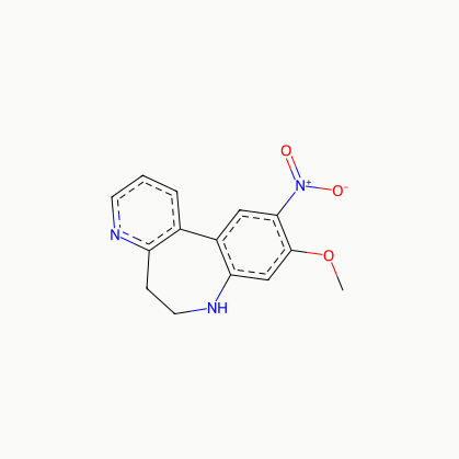 COc1cc2c(cc1[N+](=O)[O-])-c1cccnc1CCN2